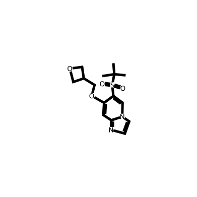 CC(C)(C)S(=O)(=O)c1cn2ccnc2cc1OCC1COC1